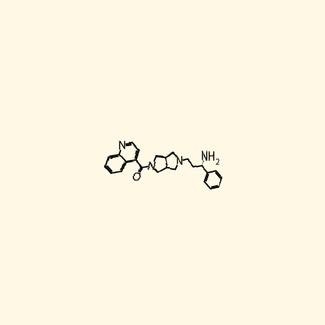 N[C@@H](CCN1CC2CN(C(=O)c3ccnc4ccccc34)CC2C1)c1ccccc1